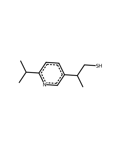 CC(C)c1ccc(C(C)CS)cn1